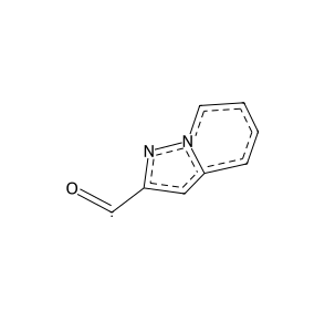 O=[C]c1cc2ccccn2n1